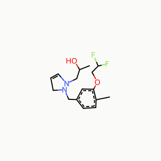 Cc1ccc(CN2CC=CN2CC(C)O)cc1OCC(F)F